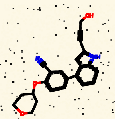 N#Cc1cc(-c2cccc3[nH]c(C#CCO)cc23)ccc1OC1CCOCC1